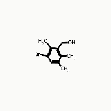 Cc1cc(Br)c(C)c(CO)c1C